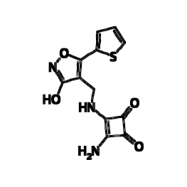 Nc1c(NCc2c(O)noc2-c2cccs2)c(=O)c1=O